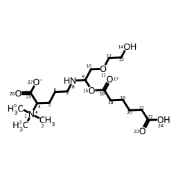 C[N+](C)(C)C(CCCNC(COCCO)OC(=O)CCCCC(=O)O)C(=O)[O-]